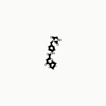 O=C(Nc1ccc(CN2C(=O)CNC2=O)cc1)c1cc(=O)c2ccccc2o1